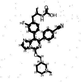 CC(Cc1ccc(-c2c(-c3ccc(C#N)cc3)nc(OC[C@@H]3CCCN(C)C3)n3ccnc23)cc1F)NC(=O)O